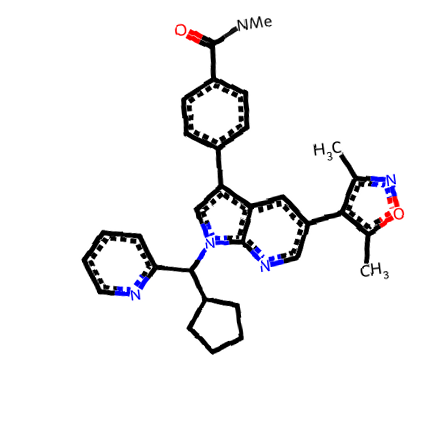 CNC(=O)c1ccc(-c2cn(C(c3ccccn3)C3CCCC3)c3ncc(-c4c(C)noc4C)cc23)cc1